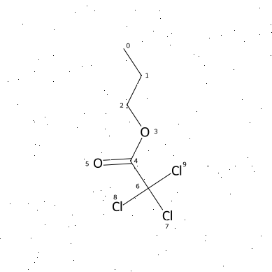 CC[CH]OC(=O)C(Cl)(Cl)Cl